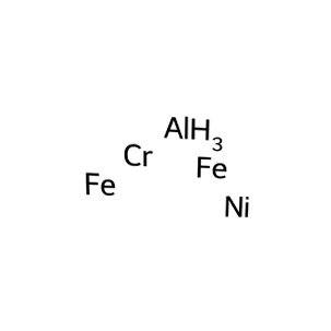 [AlH3].[Cr].[Fe].[Fe].[Ni]